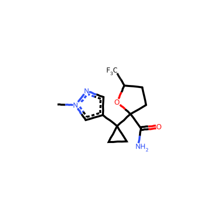 Cn1cc(C2(C3(C(N)=O)CCC(C(F)(F)F)O3)CC2)cn1